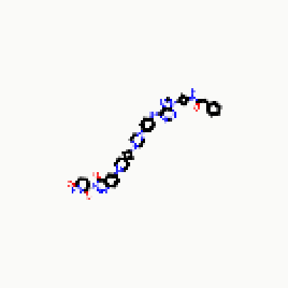 O=C1CC[C@H](n2nnc3ccc(N4CCC5(CC4)CC(N4CCN(c6ccc(Nc7ncnc8c7ncn8C7CC(NC(=O)Cc8ccccc8)C7)cc6)CC4)C5)cc3c2=O)C(=O)N1